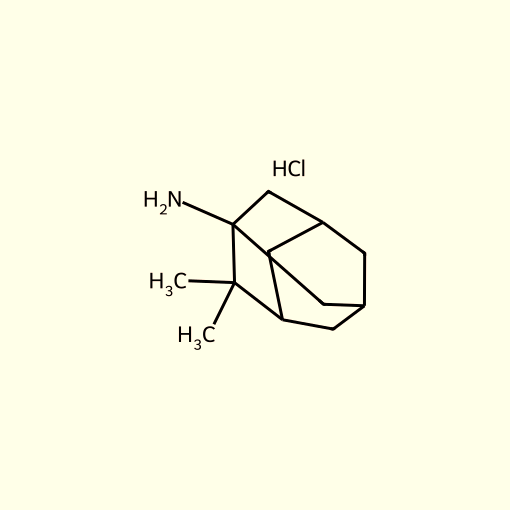 CC1(C)C2CC3CC(C2)CC1(N)C3.Cl